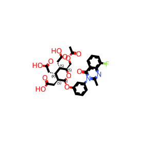 CC(=O)OC[C@H]1O[C@@H](Oc2cccc(-n3c(C)nc4c(F)cccc4c3=O)c2)[C@@H](CC(=O)O)[C@H](CC(=O)O)[C@@H]1CC(=O)O